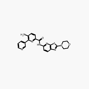 Nc1ccc(C(=O)Nc2ccc3nc(N4CCOCC4)sc3n2)nc1-c1cccnc1